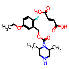 CCOc1ccc(F)c(COC(=O)N2[C@H](C)CNC[C@@H]2C)c1.O=C(O)C=CC(=O)O